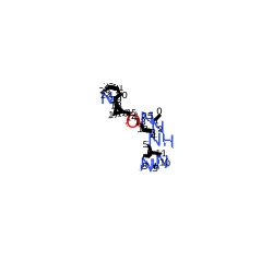 Cc1nc(NCc2cncnc2)cc(OCC2CC2c2ccccn2)n1